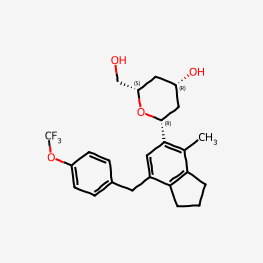 Cc1c([C@H]2C[C@@H](O)C[C@@H](CO)O2)cc(Cc2ccc(OC(F)(F)F)cc2)c2c1CCC2